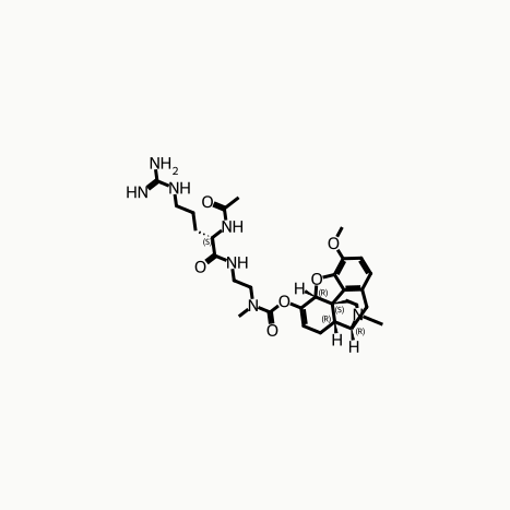 COc1ccc2c3c1O[C@H]1C(OC(=O)N(C)CCNC(=O)[C@H](CCCNC(=N)N)NC(C)=O)=CC[C@H]4[C@@H](C2)N(C)CC[C@]314